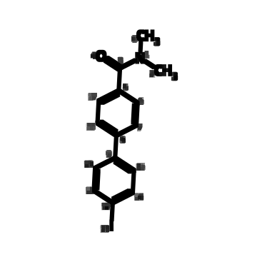 CN(C)C(=O)c1ccc(-c2ccc(I)cc2)cc1